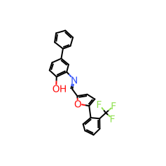 Oc1ccc(-c2ccccc2)cc1N=Cc1ccc(-c2ccccc2C(F)(F)F)o1